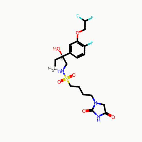 CC[C@@](O)(CNS(=O)(=O)CCCCN1CC(=O)NC1=O)c1ccc(F)c(OCC(F)F)c1